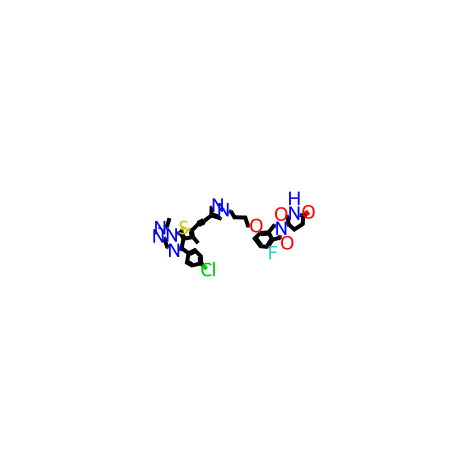 Cc1c(C#Cc2cnn(CCCCOc3ccc(F)c4c3CN(C3CCC(=O)NC3=O)C4=O)c2)sc2c1C(c1ccc(Cl)cc1)=NCc1nnc(C)n1-2